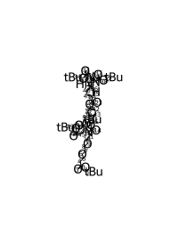 CC(C)(C)OC(=O)CCOCCOCCN(C(=O)OCc1ccc(OC(=O)c2ccc(NC(=NC(=O)OC(C)(C)C)NC(=O)OC(C)(C)C)cc2)cc1)C(CC(=O)OC(C)(C)C)C(=O)OC(C)(C)C